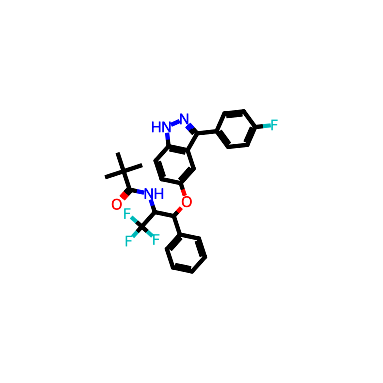 CC(C)(C)C(=O)NC(C(Oc1ccc2[nH]nc(-c3ccc(F)cc3)c2c1)c1ccccc1)C(F)(F)F